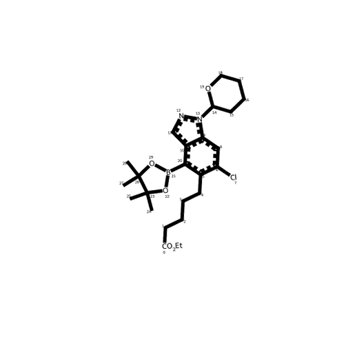 CCOC(=O)CCCCc1c(Cl)cc2c(cnn2C2CCCCO2)c1B1OC(C)(C)C(C)(C)O1